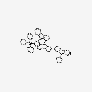 c1ccc(-n2c3ccccc3c3ccc(-c4ccc5c6ccccc6n(-c6cccc7c8ccccc8n(-c8cccc([Si](c9ccccc9)(c9ccccc9)c9ccccc9)c8)c67)c5c4)cc32)cc1